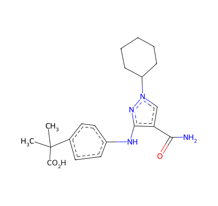 CC(C)(C(=O)O)c1ccc(Nc2nn(C3CCCCC3)cc2C(N)=O)cc1